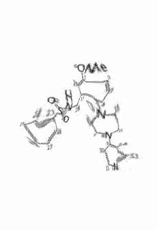 COc1ccc(N2CCN(c3ccncc3)CC2)c(CNS(=O)(=O)c2ccccc2)c1